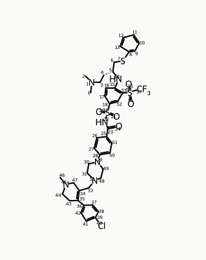 CN(C)CC[C@H](CSc1ccccc1)Nc1ccc(S(=O)(=O)NC(=O)c2ccc(N3CCN(CC4=C(c5ccc(Cl)cc5)CCN(C)C4)CC3)cc2)cc1S(=O)(=O)C(F)(F)F